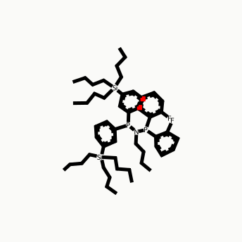 CCCCN(P(c1cccc([Si](CCCC)(CCCC)CCCC)c1)c1cccc([Si](CCCC)(CCCC)CCCC)c1)P(c1ccccc1F)c1ccccc1F